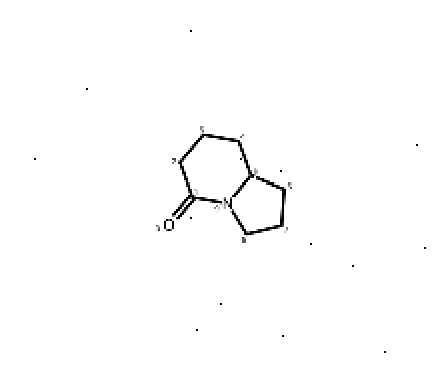 O=C1CCCC2CCCN12